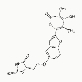 Cc1c(-c2cc3cc(OC/C=C4/SC(=S)NC4=O)ccc3o2)oc(=O)c(C)c1O